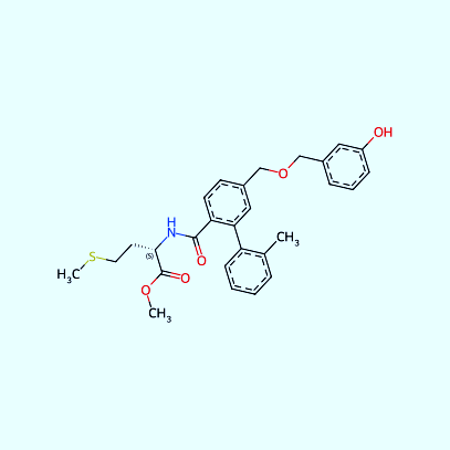 COC(=O)[C@H](CCSC)NC(=O)c1ccc(COCc2cccc(O)c2)cc1-c1ccccc1C